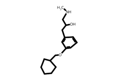 CNCC(O)Cc1cccc(OCC2CCCCC2)c1